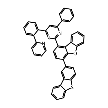 c1ccc(-c2cc(-c3ccccc3-c3ccccn3)nc(-c3ccc(-c4ccc5sc6ccccc6c5c4)c4oc5ccccc5c34)n2)cc1